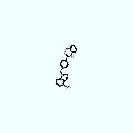 COc1cccc2c1cnn2Cc1ccc(C(=O)Nc2ccccc2N)cc1